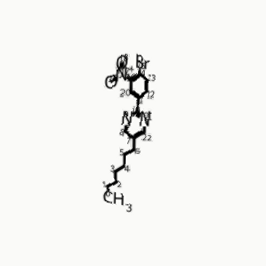 CCCCCCCc1cnc(-c2ccc(Br)c([N+](=O)[O-])c2)nc1